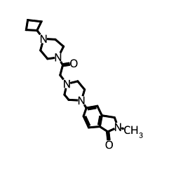 CN1Cc2cc(N3CCN(CC(=O)N4CCN(C5CCC5)CC4)CC3)ccc2C1=O